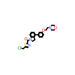 O=C(c1ncc(CCl)s1)N1CCc2c(-c3cccc(OCCN4CCOCC4)c3)cccc21